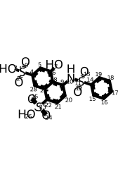 O=S(=O)(O)c1cc(O)c2c(NS(=O)(=O)c3ccccc3)ccc(S(=O)(=O)O)c2c1